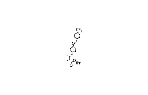 CC(C)OC(=O)C(C)C(C)Oc1ccc(OCc2ccc(C(F)(F)F)cc2)cc1